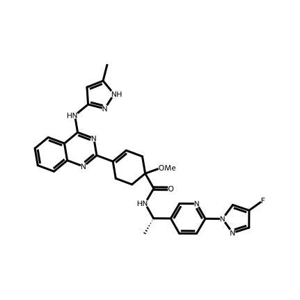 COC1(C(=O)N[C@@H](C)c2ccc(-n3cc(F)cn3)nc2)CC=C(c2nc(Nc3cc(C)[nH]n3)c3ccccc3n2)CC1